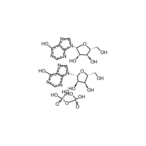 O=P(O)(O)OP(=O)(O)O.OC[C@H]1O[C@@H](n2cnc3c(O)ncnc32)[C@H](O)[C@@H]1O.OC[C@H]1O[C@@H](n2cnc3c(O)ncnc32)[C@H](O)[C@@H]1O